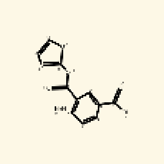 O=C(O)c1cccc(C(=O)Oc2ncco2)c1.[NaH]